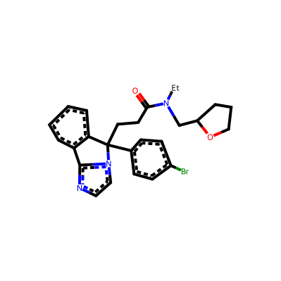 CCN(CC1CCCO1)C(=O)CCC1(c2ccc(Br)cc2)c2ccccc2-c2nccn21